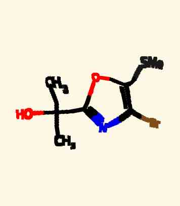 CSc1oc(C(C)(C)O)nc1Br